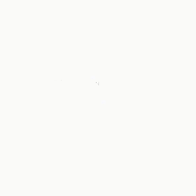 CC/C=N\C=C(\C)CC